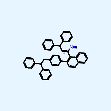 C=N/C(=C\C(c1ccccc1)c1ccccc1)c1c(-c2ccc(CC(c3ccccc3)c3ccccc3)cc2)ccc2ccccc12